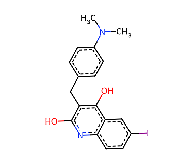 CN(C)c1ccc(Cc2c(O)nc3ccc(I)cc3c2O)cc1